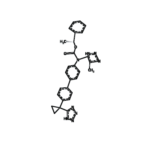 Cc1nn[nH]c1N(C(=O)O[C@H](C)c1ccccc1)c1ccc(-c2ccc(C3(c4nnn[nH]4)CC3)cc2)cc1